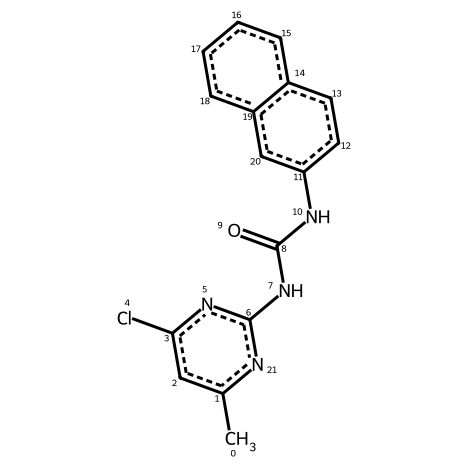 Cc1cc(Cl)nc(NC(=O)Nc2ccc3ccccc3c2)n1